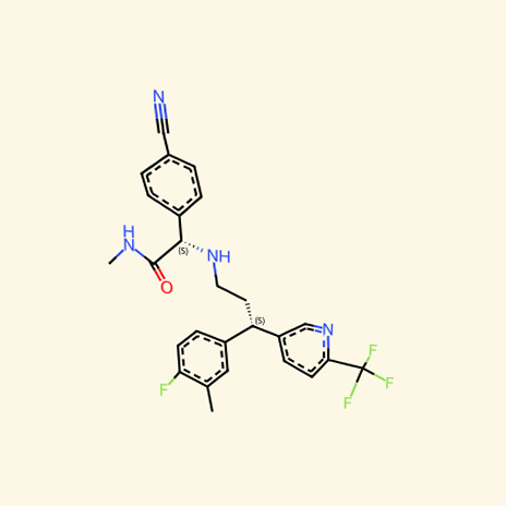 CNC(=O)[C@@H](NCC[C@H](c1ccc(C(F)(F)F)nc1)c1ccc(F)c(C)c1)c1ccc(C#N)cc1